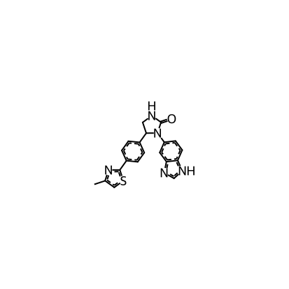 Cc1csc(-c2ccc(C3CNC(=O)N3c3ccc4[nH]cnc4c3)cc2)n1